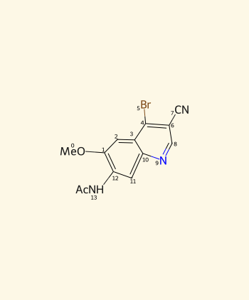 COc1cc2c(Br)c(C#N)cnc2cc1NC(C)=O